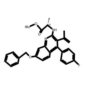 C=C(C)c1c(N[C@@H](C)C(=O)OC(C)(C)C)nc2cc(OCc3ccccc3)ccc2c1-c1ccc(F)cc1